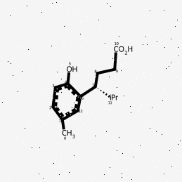 Cc1ccc(O)c([C@H](CCC(=O)O)C(C)C)c1